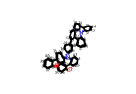 c1ccc(-c2ccccc2-n2c3ccccc3c3ccccc32)c(-c2ccc(N(c3ccc4c(c3)oc3ccccc34)c3cccc4oc5ccccc5c34)cc2)c1